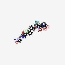 COc1cc(-c2cccc(C3=C4CC[C@H](Oc5nc(OC)c(CN6CC7CCC6CCC7C(=O)O)cc5C(F)(F)F)C4=CCC3)c2Cl)ccc1CNC[C@@H]1CCC(=O)N1